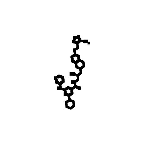 Cc1ncoc1COc1ccc2c(c1)CCN(C[C@@H](O)CNC(=O)c1cc(Nc3cccnc3)nc(N3CCCCC3)c1)C2